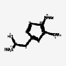 COc1cc(CC(O)C(=O)O)ccc1NC(C)=O